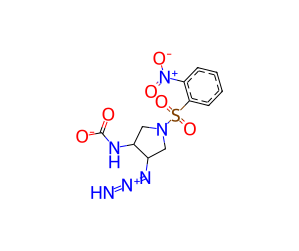 N=[N+]=NC1CN(S(=O)(=O)c2ccccc2[N+](=O)[O-])CC1NC(=O)[O-]